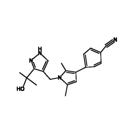 Cc1cc(-c2ccc(C#N)cc2)c(C)n1Cc1c[nH]nc1C(C)(C)O